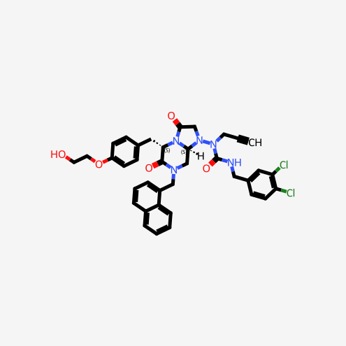 C#CCN(C(=O)NCc1ccc(Cl)c(Cl)c1)N1CC(=O)N2[C@@H](Cc3ccc(OCCO)cc3)C(=O)N(Cc3cccc4ccccc34)C[C@@H]21